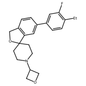 CCc1ccc(-c2ccc3c(c2)C2(CCN(C4COC4)CC2)OC3)cc1F